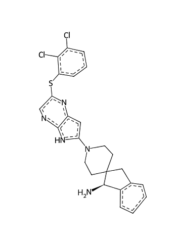 N[C@@H]1c2ccccc2CC12CCN(c1cc3nc(Sc4cccc(Cl)c4Cl)cnc3[nH]1)CC2